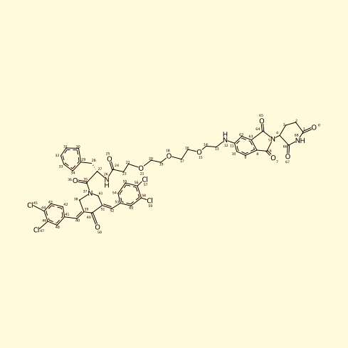 O=C1CCC(N2C(=O)c3ccc(NCCOCCOCCOCCC(=O)N[C@@H](Cc4ccccc4)C(=O)N4C/C(=C\c5ccc(Cl)c(Cl)c5)C(=O)/C(=C/c5ccc(Cl)c(Cl)c5)C4)cc3C2=O)C(=O)N1